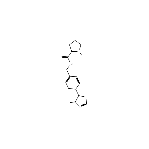 CC1N=CSC1C1C=CC(CNC(=O)C2CCCN2C=O)=CC1